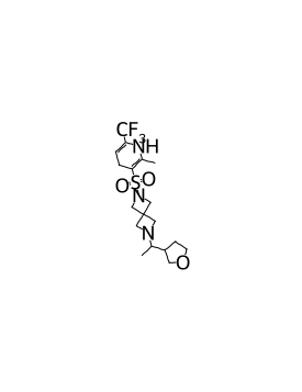 CC1=C(S(=O)(=O)N2CC3(CN(C(C)C4CCOC4)C3)C2)CC=C(C(F)(F)F)N1